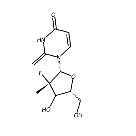 C=C1NC(=O)C=CN1[C@@H]1O[C@H](CO)C(O)[C@]1(C)F